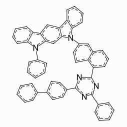 c1ccc(-c2ccc(-c3nc(-c4ccccc4)nc(-c4cccc5cc(-n6c7ccccc7c7cc8c9ccccc9n(-c9ccccc9)c8cc76)ccc45)n3)cc2)cc1